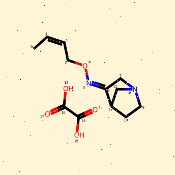 C/C=C\CON=C1CN2CCC1C2.O=C(O)C(=O)O